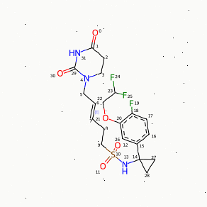 O=C1CCN(C/C=C/CCS(=O)(=O)NC2(c3ccc(F)c(OCC(F)F)c3)CC2)C(=O)N1